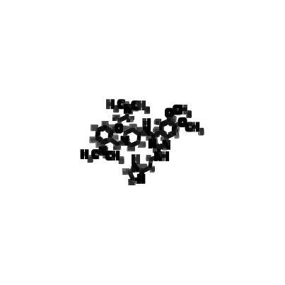 COc1cc2nc(NCCC3=NCCN3)nc(NC3CCN(Cc4c(OCCN(C)C)cccc4N(C)C)CC3)c2cc1OC